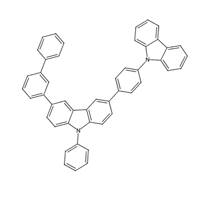 c1ccc(-c2cccc(-c3ccc4c(c3)c3cc(-c5ccc(-n6c7ccccc7c7ccccc76)cc5)ccc3n4-c3ccccc3)c2)cc1